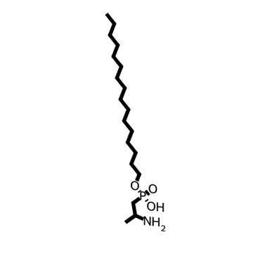 CCCCCCCCCCCCCCCCOP(=O)(O)CC(C)N